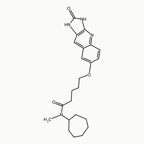 CN(C(=O)CCCCOc1ccc2nc3[nH]c(=O)[nH]c3cc2c1)C1CCCCCC1